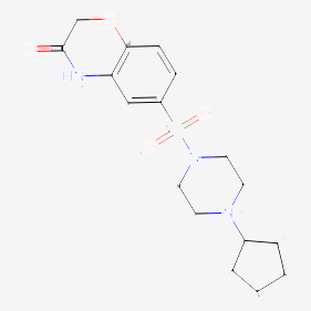 O=C1COc2ccc(S(=O)(=O)N3CCN(C4CCCC4)CC3)cc2N1